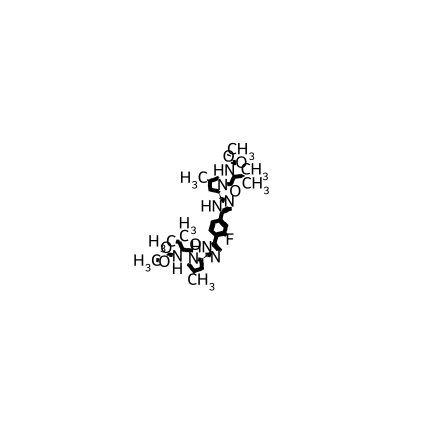 COC(=O)N[C@H](C(=O)N1C[C@@H](C)C[C@H]1c1ncc(-c2ccc(-c3cnc([C@@H]4C[C@H](C)CN4C(=O)[C@@H](NC(=O)OC)C(C)C)[nH]3)c(F)c2)[nH]1)C(C)C